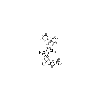 CC(=O)C(=CC(=O)OC(C)CN(C)CCC(c1ccccc1)c1ccccc1)c1cccc([N+](=O)[O-])c1